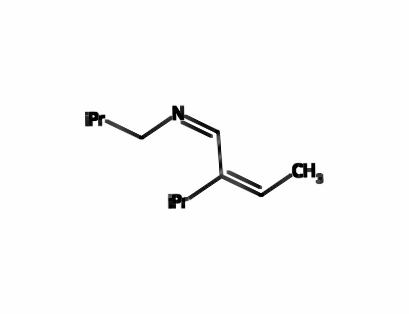 C/C=C(\C=N/CC(C)C)C(C)C